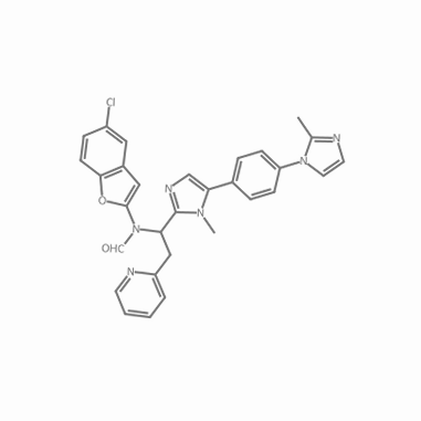 Cc1nccn1-c1ccc(-c2cnc(C(Cc3ccccn3)N(C=O)c3cc4cc(Cl)ccc4o3)n2C)cc1